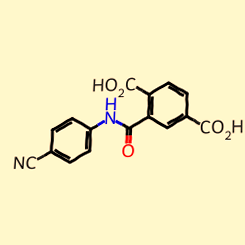 N#Cc1ccc(NC(=O)c2cc(C(=O)O)ccc2C(=O)O)cc1